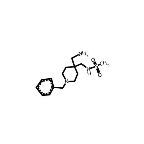 CS(=O)(=O)NCC1(CN)CCN(Cc2ccccc2)CC1